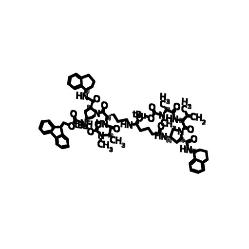 C=C(C)[C@H](NC(=O)[C@H](C)N(C)C(=O)OC(C)(C)C)C(=O)N1C[C@@H](NC(=O)CCCC(=O)NCCC[C@H](NC(=O)[C@H](C)N(C)C(=O)OC(C)(C)C)C(=O)N2C[C@@H](NC(=O)OCC3c4ccccc4-c4ccccc43)C[C@H]2C(=O)N[C@@H]2CCCc3ccccc32)C[C@H]1C(=O)N[C@@H]1CCCc2ccccc21